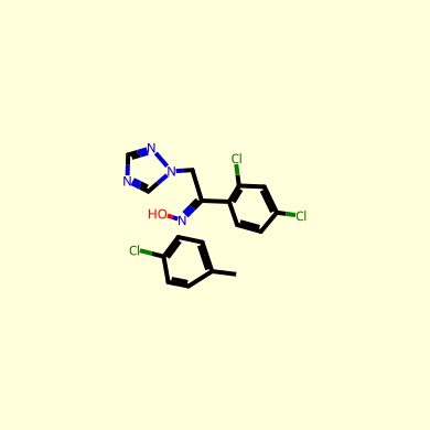 Cc1ccc(Cl)cc1.ON=C(Cn1cncn1)c1ccc(Cl)cc1Cl